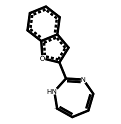 [C]1=CC=CN=C(c2cc3ccccc3o2)N1